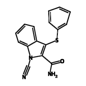 N#Cn1c(C(N)=O)c(Sc2ccccc2)c2ccccc21